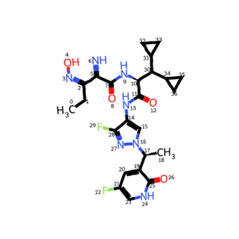 CC/C(=N/O)C(=N)C(=O)N[C@H](C(=O)Nc1cn([C@@H](C)c2cc(F)c[nH]c2=O)nc1F)C(C1CC1)C1CC1